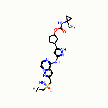 CCS(=N)(=O)Cc1cc2c(Nc3cc([C@H]4CC[C@@H](OC(=O)NC5(C)CC5)C4)[nH]n3)nccn2n1